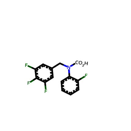 O=C(O)N(Cc1cc(F)c(F)c(F)c1)c1ccccc1F